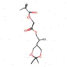 C=C(C)C(=O)OCC(=O)OCC(CC)C1COC(C)(C)OC1